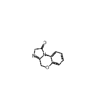 O=C1CN=C2COc3ccccc3N12